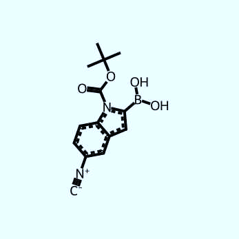 [C-]#[N+]c1ccc2c(c1)cc(B(O)O)n2C(=O)OC(C)(C)C